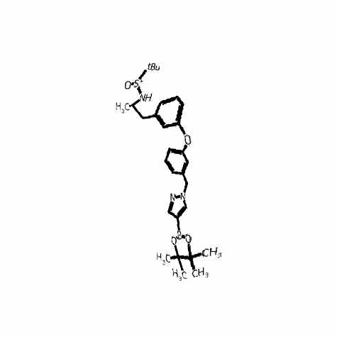 C[C@@H](Cc1cccc(Oc2cccc(Cn3cc(B4OC(C)(C)C(C)(C)O4)cn3)c2)c1)N[S+]([O-])C(C)(C)C